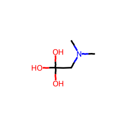 CN(C)CC(O)(O)O